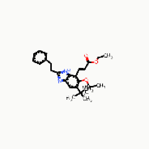 CCOC(=O)C=Cc1c(O[SiH](C)C)c(C(C)(C)C)cc2nc(CCc3ccccc3)[nH]c12